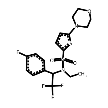 CCN(C(c1ccc(F)cc1)C(F)(F)F)S(=O)(=O)c1ccc(N2CCOCC2)s1